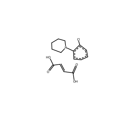 Clc1ccccc1N1CCCCC1.O=C(O)/C=C/C(=O)O